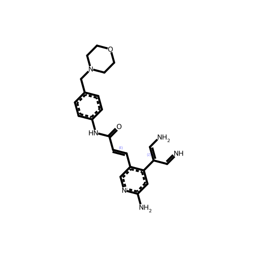 N=C/C(=C\N)c1cc(N)ncc1/C=C/C(=O)Nc1ccc(CN2CCOCC2)cc1